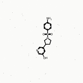 Nc1ccc(S(=O)(=O)N2CCC(c3cncc(O)c3)C2)cc1